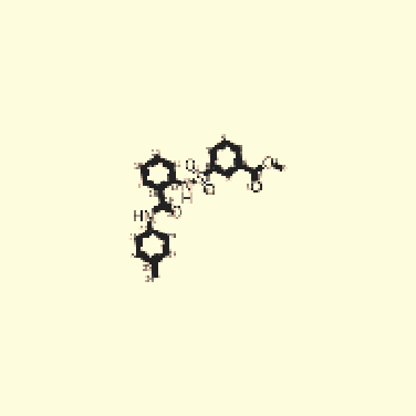 COC(=O)c1cccc(S(=O)(=O)Nc2ccccc2C(=O)Nc2ccc(C)cc2)c1